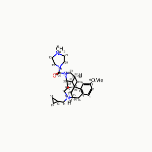 COc1ccc2c(c1)[C@]13CCN(CC4CC4)[C@H](C2)[C@]12CCC1C3[C@@H](CN1C(=O)N1CCN(C)CC1)C2